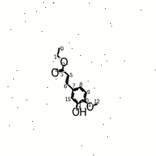 CCOC(=O)C=Cc1ccc(OC)c(O)c1